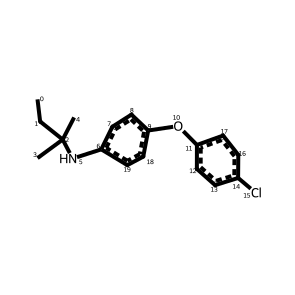 CCC(C)(C)Nc1ccc(Oc2ccc(Cl)cc2)cc1